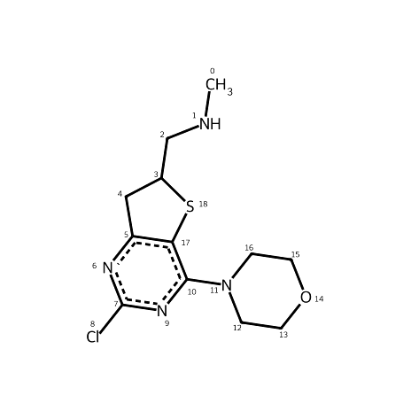 CNCC1Cc2nc(Cl)nc(N3CCOCC3)c2S1